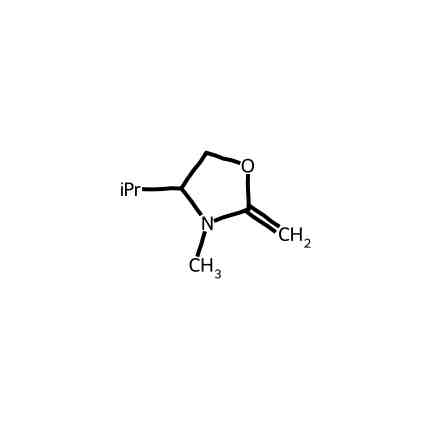 C=C1OCC(C(C)C)N1C